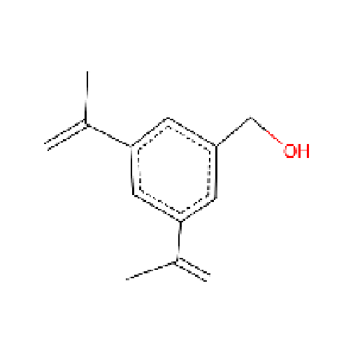 C=C(C)c1cc(CO)cc(C(=C)C)c1